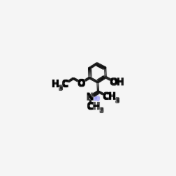 CCOc1cccc(O)c1/C(C)=N/C